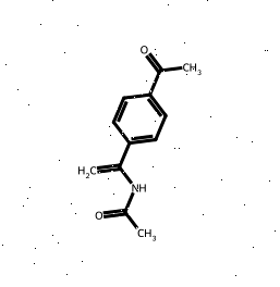 C=C(NC(C)=O)c1ccc(C(C)=O)cc1